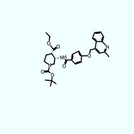 CCOC(=O)[C@H]1CCN(C(=O)OC(C)(C)C)C[C@H]1NC(=O)c1ccc(OCc2cc(C)nc3ccccc23)cc1